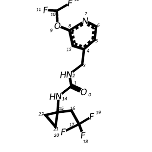 O=C(NCc1ccnc(OC(F)F)c1)NC1(CC(F)(F)F)CC1